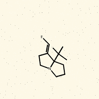 CC(C)(C)C12CCCN1CC/C2=C\F